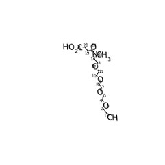 C#CCOCCOCCOCCOCCN(C)C(=O)CCC(=O)O